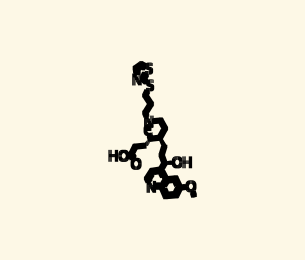 COc1ccc2nccc([C@H](O)CC[C@@H]3CCN(CCCSc4nccs4)C[C@H]3CCC(=O)O)c2c1